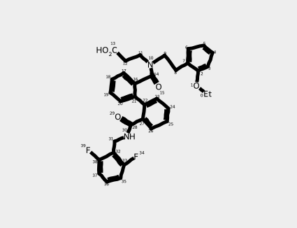 CCOc1ccccc1CCN(CCC(=O)O)C(=O)c1ccccc1-c1ccccc1C(=O)NCc1c(F)cccc1F